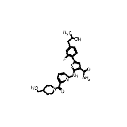 CC(O)Cc1ccc(-c2cc(C(N)=O)c(Nc3cccc(C(=O)N4CCC(CO)CC4)n3)s2)c(F)c1